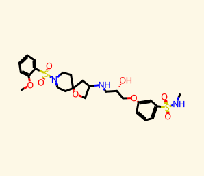 CNS(=O)(=O)c1cccc(OC[C@@H](O)CNC2COC3(CCN(S(=O)(=O)c4ccccc4OC)CC3)C2)c1